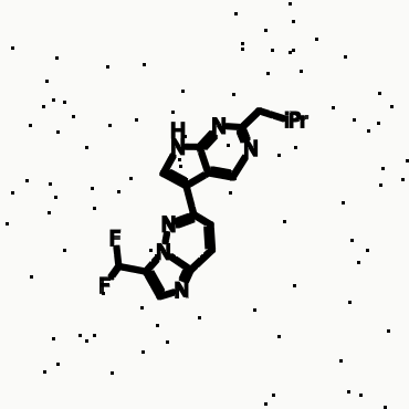 CC(C)Cc1ncc2c(-c3ccc4ncc(C(F)F)n4n3)c[nH]c2n1